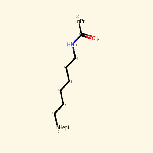 CCCCCCCCCCCCCNC(=O)CCC